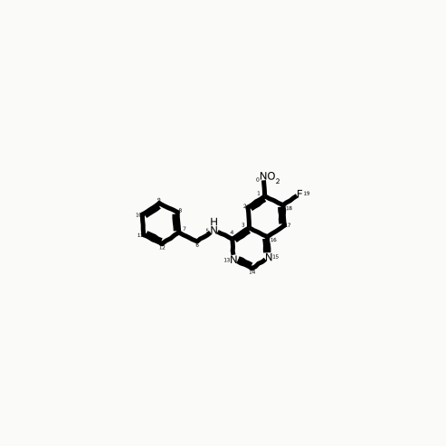 O=[N+]([O-])c1cc2c(NCc3ccccc3)ncnc2cc1F